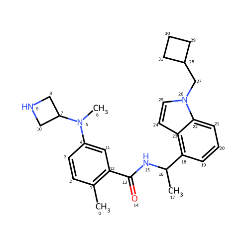 Cc1ccc(N(C)C2CNC2)cc1C(=O)NC(C)c1cccc2c1ccn2CC1CCC1